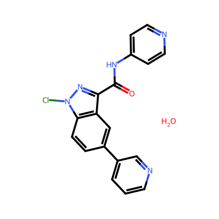 O.O=C(Nc1ccncc1)c1nn(Cl)c2ccc(-c3cccnc3)cc12